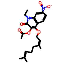 CCn1c(=O)c(OC(C)=O)c(OCC=C(C)CCC=C(C)C)c2ccc([N+](=O)[O-])cc21